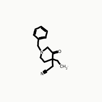 [CH2]CC1(CC#N)CCN(Cc2ccccc2)CC1=O